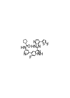 O=C(Nc1cncc(-c2cc3c(-c4nc5c(-c6ccc(F)s6)ccnc5[nH]4)n[nH]c3cc2F)c1)C1CCCC1